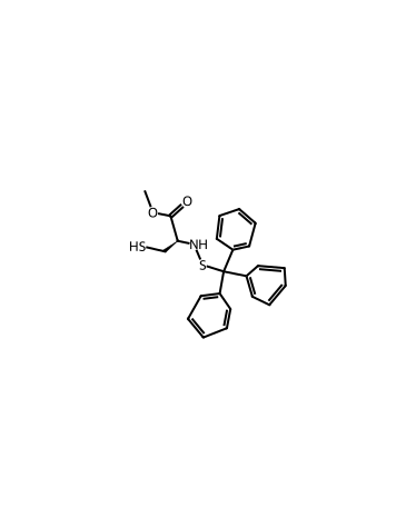 COC(=O)[C@H](CS)NSC(c1ccccc1)(c1ccccc1)c1ccccc1